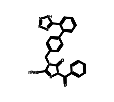 CCCCCc1nn(C(=O)c2ccccc2)c(=O)n1Cc1ccc(-c2ccccc2-c2nnn[nH]2)cc1